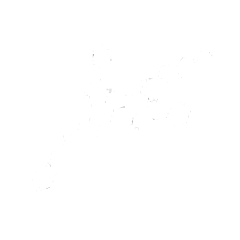 COC[C@@H]1C[C@H](OC(=O)N[C@@H](Cc2ccccc2)[C@@H](O)C[C@@H](Cc2ccc(OCCN3CCOCC3)cc2)C(=O)N[C@H]2c3ccccc3C[C@H]2O)CO1